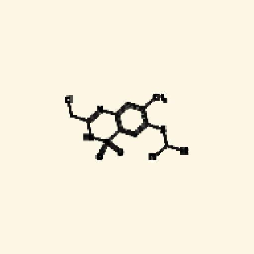 CCC(CC)Sc1cc2c(cc1C)N=C(CCl)NS2(=O)=O